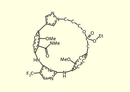 CCOP1(=O)Cc2ccc(c(OC)c2)Nc2ncc(C(F)(F)F)c(n2)Nc2ccc(c(OC)c2C(=O)NC)-c2cnn(c2)CCCO1